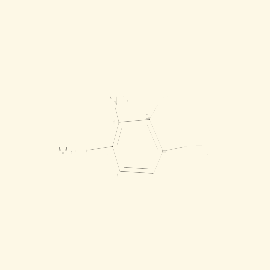 [CH2]c1ccc(OC)c([N+](=O)[O-])c1Br